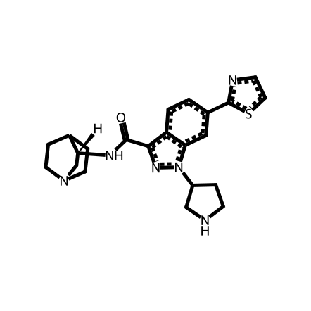 O=C(N[C@@H]1CN2CCC1CC2)c1nn(C2CCNC2)c2cc(-c3nccs3)ccc12